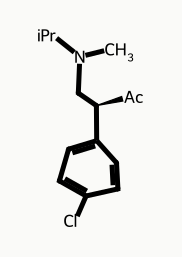 CC(=O)[C@H](CN(C)C(C)C)c1ccc(Cl)cc1